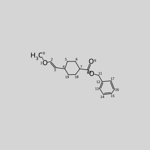 CO/C=C/C1CCC(C(=O)OCc2ccccc2)CC1